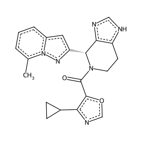 Cc1cccc2cc([C@@H]3c4nc[nH]c4CCN3C(=O)c3ocnc3C3CC3)nn12